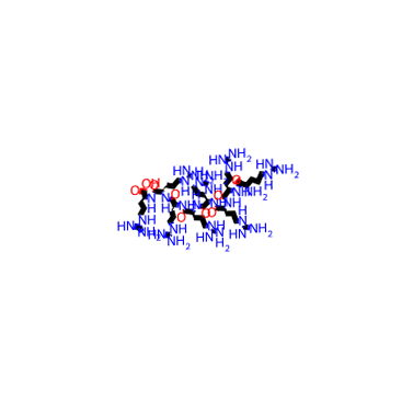 N=C(N)NCCC[C@H](NC(=O)[C@H](CCCNC(=N)N)NC(=O)[C@@H](CCCNC(=N)N)NC(=O)[C@H](CCCNC(=N)N)NC(=O)[C@@H](CCCNC(=N)N)NC(=O)[C@H](CCCNC(=N)N)NC(=O)[C@@H](CCCNC(=N)N)NC(=O)[C@@H](N)CCCNC(=N)N)C(=O)O